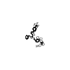 CC(C)(Oc1ccc(CC[C@H](OCc2ccccc2)c2ccc(-c3ccc(C(F)(F)F)cc3)s2)c(Cl)c1Cl)C(=O)O